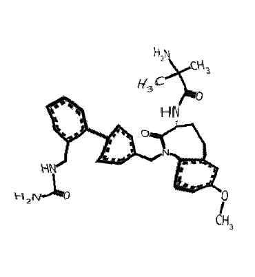 COc1ccc2c(c1)CC[C@@H](NC(=O)C(C)(C)N)C(=O)N2Cc1ccc(-c2ccccc2CNC(N)=O)cc1